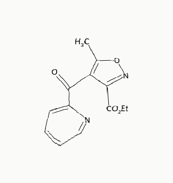 CCOC(=O)c1noc(C)c1C(=O)c1ccccn1